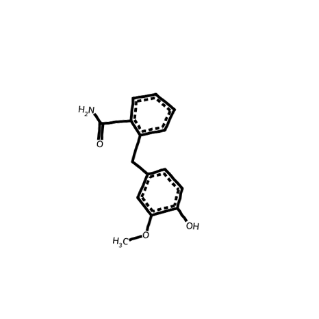 COc1cc(Cc2ccccc2C(N)=O)ccc1O